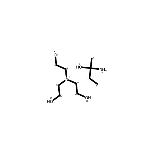 CCC(C)(N)O.OCCN(CCO)CCO